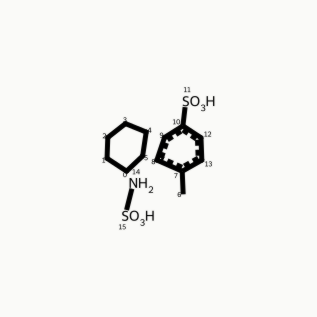 C1CCCCC1.Cc1ccc(S(=O)(=O)O)cc1.NS(=O)(=O)O